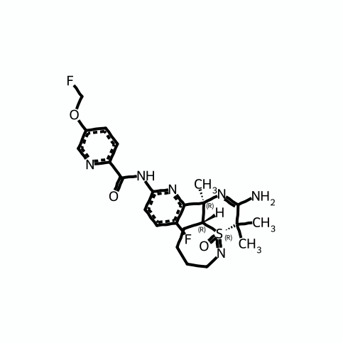 CC1(C)C(N)=N[C@](C)(c2nc(NC(=O)c3ccc(OCF)cn3)ccc2F)[C@H]2CCCCN=[S@@]21=O